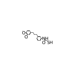 COc1ccc(CCCc2cccc(NC(=O)CS)c2)cc1OC